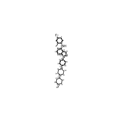 Cc1cc(F)ccc1Nc1ncnc2c1cnn2-c1ccc(N2CCN(C3CCN(C)CC3)CC2)cc1